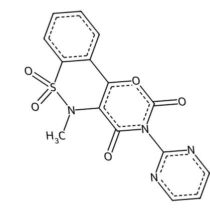 CN1c2c(oc(=O)n(-c3ncccn3)c2=O)-c2ccccc2S1(=O)=O